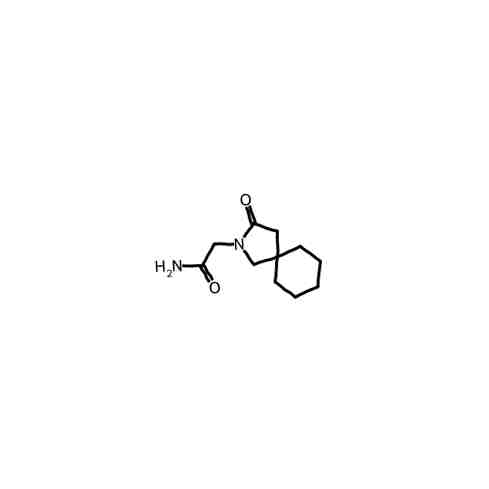 NC(=O)CN1CC2(CCCCC2)CC1=O